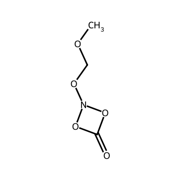 COCOn1oc(=O)o1